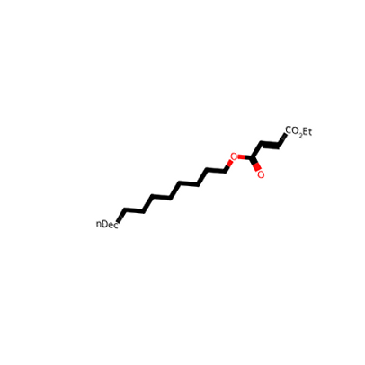 CCCCCCCCCCCCCCCCCCOC(=O)C=CC(=O)OCC